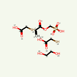 C=CC(=O)OCS(=O)(=O)O.O=C(O)CS.O=C(O)CS.OCCO